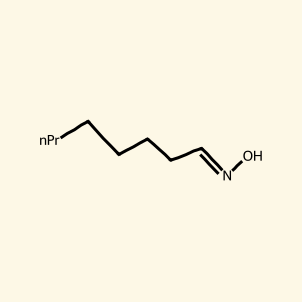 CCCCCCCC=NO